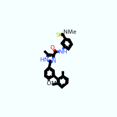 CNC(=S)c1cccc(NC(=O)c2nc(-c3ccc(OC)c(-c4c(C)cccc4C)c3)[nH]c2C)c1